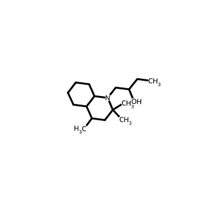 CCC(O)CN1C2CCCCC2C(C)CC1(C)C